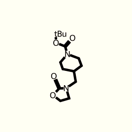 CC(C)(C)OC(=O)N1CCC(CN2CCOC2=O)CC1